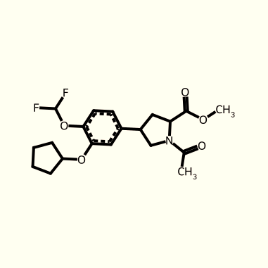 COC(=O)C1CC(c2ccc(OC(F)F)c(OC3CCCC3)c2)CN1C(C)=O